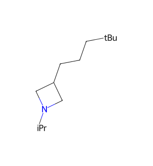 CC(C)N1CC(CCCC(C)(C)C)C1